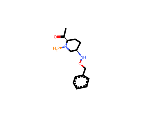 CC(=O)[C@@H]1CC[C@@H](NOCc2ccccc2)CN1P